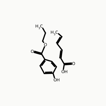 CC=CC=CC(=O)O.CCCOC(=O)c1ccc(O)cc1